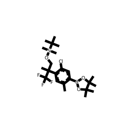 Cc1cc(C(C)(CO[Si](C)(C)C(C)(C)C)C(F)(F)F)c(Cl)cc1B1OC(C)(C)C(C)(C)O1